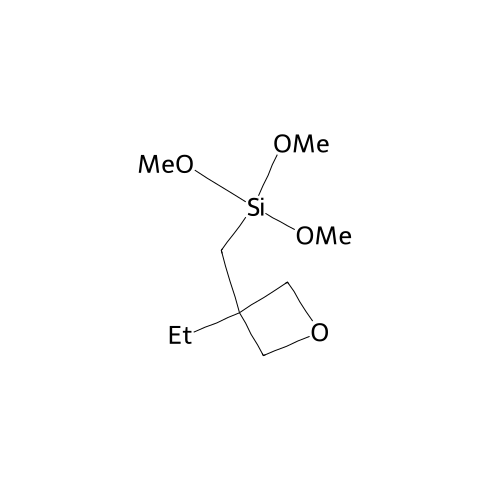 CCC1(C[Si](OC)(OC)OC)COC1